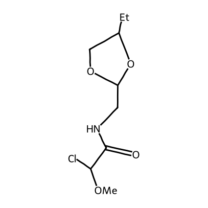 CCC1COC(CNC(=O)C(Cl)OC)O1